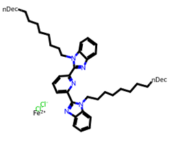 CCCCCCCCCCCCCCCCCCn1c(-c2cccc(-c3nc4ccccc4n3CCCCCCCCCCCCCCCCCC)n2)nc2ccccc21.[Cl-].[Cl-].[Fe+2]